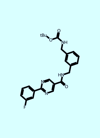 CC(C)(C)OC(=O)NCc1cccc(CNC(=O)c2cnc(-c3cccc(F)c3)nc2)c1